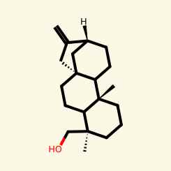 C=C1C[C@@]23CCC4[C@](C)(CO)CCC[C@@]4(C)C2CC[C@@H]1C3